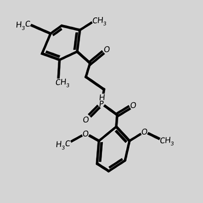 COc1cccc(OC)c1C(=O)[PH](=O)CCC(=O)c1c(C)cc(C)cc1C